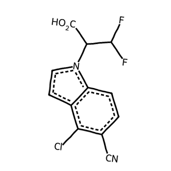 N#Cc1ccc2c(ccn2C(C(=O)O)C(F)F)c1Cl